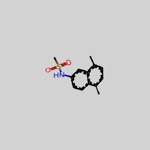 Cc1ccc(C)c2cc(NS(C)(=O)=O)ccc12